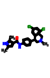 Cc1cc(C(=O)Nc2ccc(C3CN(C)Cc4c(Cl)cc(Cl)cc43)cc2)c(C)[nH]1